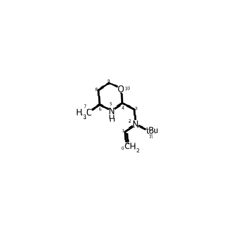 C=CN(CC1NC(C)CCO1)C(C)(C)C